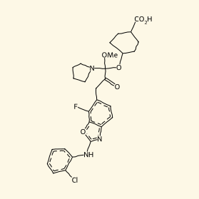 COC(OC1CCC(C(=O)O)CC1)(C(=O)Cc1ccc2nc(Nc3ccccc3Cl)oc2c1F)N1CCCC1